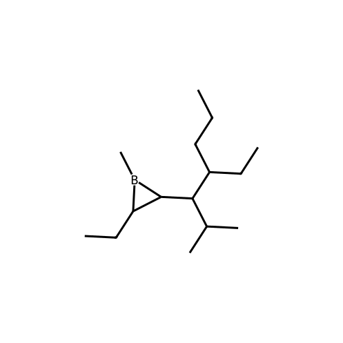 CCCC(CC)C(C(C)C)C1B(C)C1CC